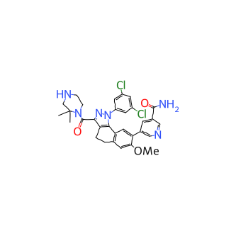 COc1cc2c(cc1-c1cncc(C(N)=O)c1)-c1c(c(C(=O)N3CCNCC3(C)C)nn1-c1cc(Cl)cc(Cl)c1)CC2